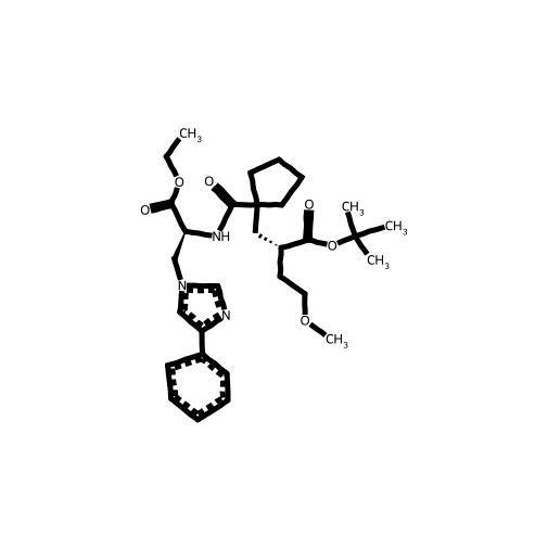 CCOC(=O)[C@H](Cn1cnc(-c2ccccc2)c1)NC(=O)C1(C[C@@H](CCOC)C(=O)OC(C)(C)C)CCCC1